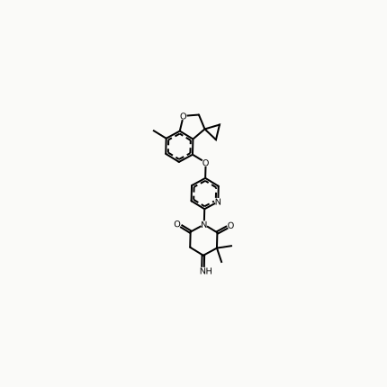 Cc1ccc(Oc2ccc(N3C(=O)CC(=N)C(C)(C)C3=O)nc2)c2c1OCC21CC1